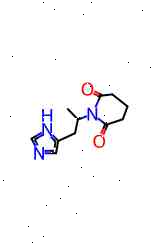 CC(Cc1cnc[nH]1)N1C(=O)CCCC1=O